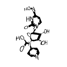 O=C(O)N(c1ccncc1)[C@@H]1O[C@@H](n2cc/c(=N/O)[nH]c2=O)[C@H](O)[C@@H]1O